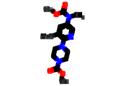 COc1cc(N(C)C(=O)OC(C)(C)C)cnc1N1CCN(C(=O)OC(C)(C)C)CC1